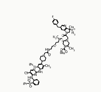 Cc1cc(Nc2ncc(Cl)c(Nc3ccccc3S(=O)(=O)C(C)C)n2)c(OC(C)C)cc1C1CCN(CC(=O)NCCOCCN(C)C[C@H]2CN(C(=O)OC(C)(C)C)[C@H](C)CN2CC(=O)N2CC(C)(C)c3ncc(Cc4ccc(F)cc4)cc32)CC1